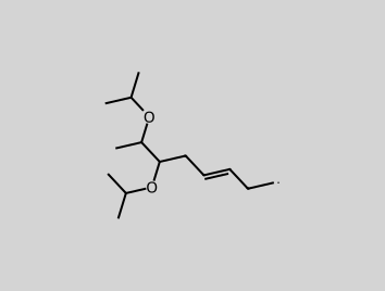 [CH2]CC=CCC(OC(C)C)C(C)OC(C)C